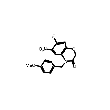 COc1ccc(CN2C(=O)COc3cc(F)c([N+](=O)[O-])cc32)cc1